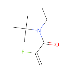 C=C(F)C(=O)N(CC)C(C)(C)C